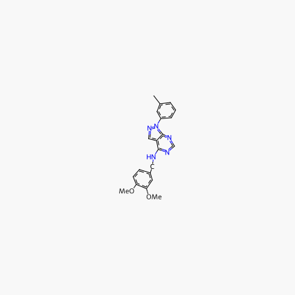 COc1ccc(CNc2ncnc3c2cnn3-c2cccc(C)c2)cc1OC